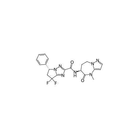 CN1C(=O)[C@@H](NC(=O)c2nc3n(n2)[C@@H](c2ccccc2)CC3(F)F)CCn2nccc21